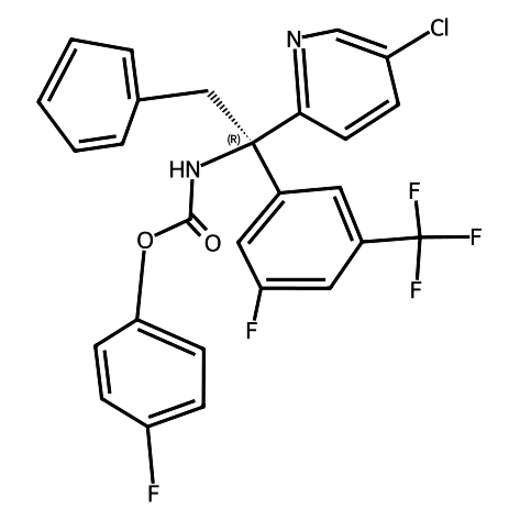 O=C(N[C@](Cc1ccccc1)(c1cc(F)cc(C(F)(F)F)c1)c1ccc(Cl)cn1)Oc1ccc(F)cc1